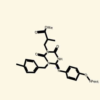 CCCCCOc1ccc(/N=c2\[nH]c(=O)n(CC(C)C(=O)OC)c(=O)n2Cc2ccc(C)cc2)cc1